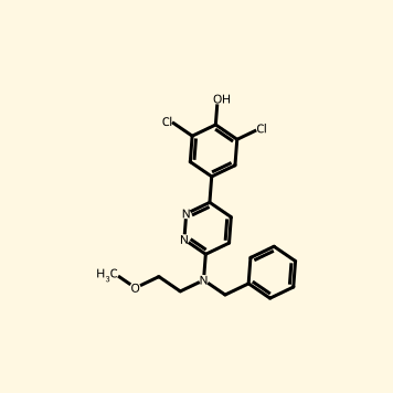 COCCN(Cc1ccccc1)c1ccc(-c2cc(Cl)c(O)c(Cl)c2)nn1